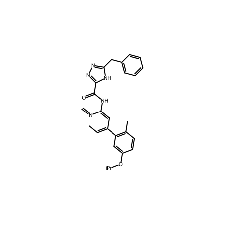 C=N/C(=C\C(=C/C)c1cc(OC(C)C)ccc1C)NC(=O)c1nnc(Cc2ccccc2)[nH]1